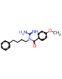 COc1ccc(C(=O)N(CCCCc2ccccc2)C(=N)N)cc1